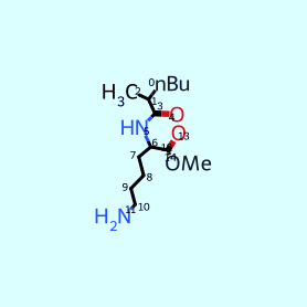 CCCCC(C)C(=O)NC(CCCCN)C(=O)OC